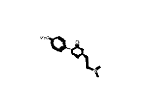 COc1ccc([C@@H]2C=CC(CCN(C)C)CC2=O)cc1